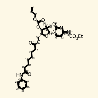 C=CCOC(=O)O[C@@H]1[C@@H](COC(=O)CCCCCCC(=O)Nc2ccccc2)O[C@@H](n2ccc(NC(=O)OCC)nc2=O)C1(F)F